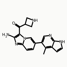 Cc1c(-c2ccc3nc(N)c(C(=O)C4CNC4)n3c2)cnc2[nH]ccc12